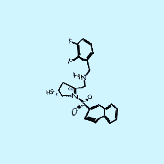 O=S(=O)(c1ccc2ccccc2c1)N1C[C@H](S)C[C@H]1CNCc1cccc(F)c1F